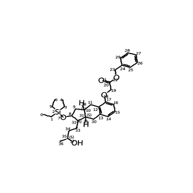 CC[Si](CC)(CC)OC1C[C@@H]2Cc3c(cccc3OCC(=O)OCc3ccccc3)C[C@@H]2[C@H]1CC[C@H](C)O